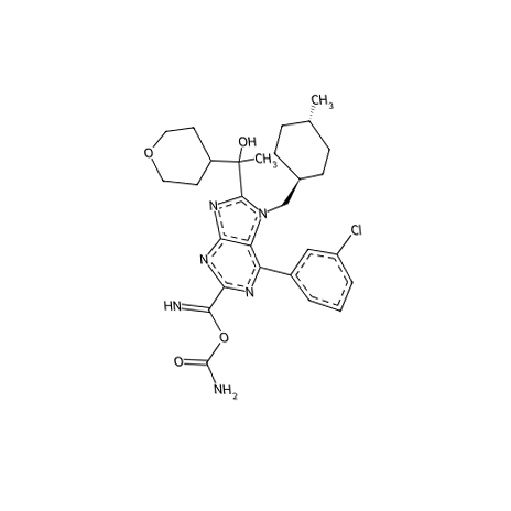 CC(O)(c1nc2nc(C(=N)OC(N)=O)nc(-c3cccc(Cl)c3)c2n1C[C@H]1CC[C@H](C)CC1)C1CCOCC1